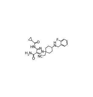 N#CCC1(n2cc(C(N)=O)c(NC(=O)C3CC3)n2)CCC(NCc2ccccc2F)CC1